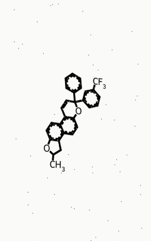 CC1Cc2c(ccc3c4c(ccc23)OC(c2ccccc2)(c2cccc(C(F)(F)F)c2)C=C4)O1